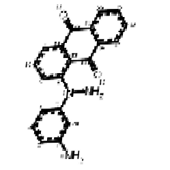 Nc1cccc(N(N)c2cccc3c2C(=O)c2ccccc2C3=O)c1